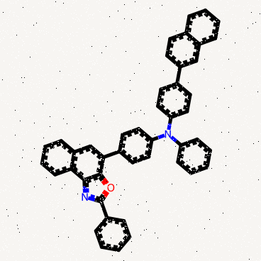 c1ccc(-c2nc3c(o2)c(-c2ccc(N(c4ccccc4)c4ccc(-c5ccc6ccccc6c5)cc4)cc2)cc2ccccc23)cc1